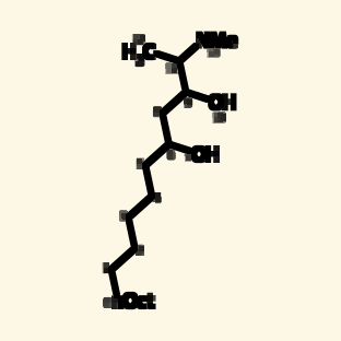 CCCCCCCCCCCCCC(O)CC(O)C(C)NC